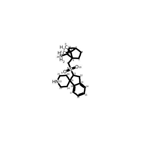 CC1(C)C2CCC1(CS(=O)(=O)C1Cc3ccccc3C13CCNCC3)C(N)C2